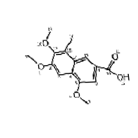 COc1cc2c(OC)cc(C(=O)O)cc2c(C)c1OC